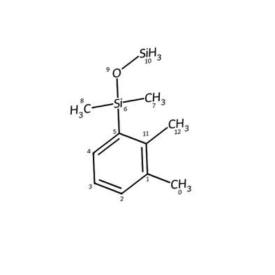 Cc1cccc([Si](C)(C)O[SiH3])c1C